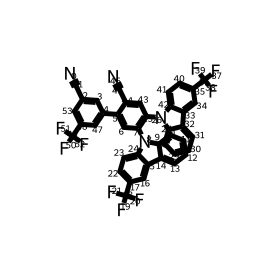 N#Cc1cc(-c2cc(-n3c4ccccc4c4cc(C(F)(F)F)ccc43)c(-n3c4ccccc4c4cc(C(F)(F)F)ccc43)cc2C#N)cc(C(F)(F)F)c1